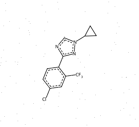 FC(F)(F)c1cc(Cl)ccc1-c1n[c]n(C2CC2)n1